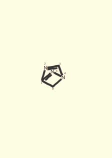 [CH]1c2ncn1n2